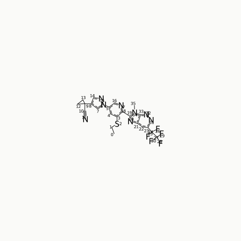 CCSc1cc(-n2cc(C3(C#N)CC3)cn2)cnc1-c1nc2cc(C(F)(F)C(F)(F)F)nnc2n1C